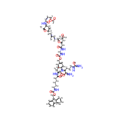 CC(=O)O[C@@H](C)/C=C\C(=O)N[C@@H]1C[C@H](C)[C@H](C/C=C(C)/C=C/[C@@H]2C[C@]3(CO3)C[C@@H](CC(=O)NCNC(=O)OCc3ccc(N(C(=O)[C@@H](NC(=O)CCCCCNC(=O)OCC4c5ccccc5-c5ccccc54)C(C)C)[C@@H](CCCNC(N)=O)C(N)=O)cc3)O2)O[C@@H]1C